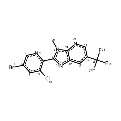 Cn1c(-c2ncc(Br)cc2Cl)nc2cc(C(F)(F)F)cnc21